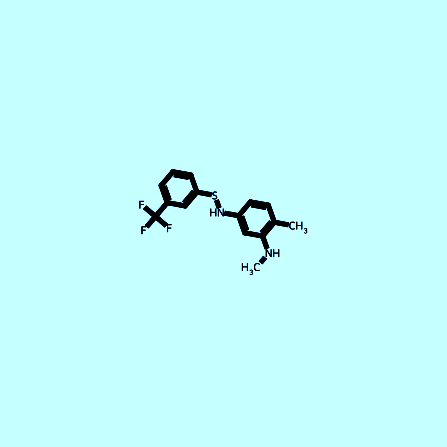 CNc1cc(NSc2cccc(C(F)(F)F)c2)ccc1C